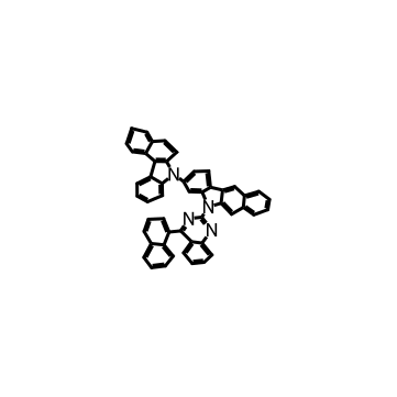 c1ccc2cc3c(cc2c1)c1ccc(-n2c4ccccc4c4c5ccccc5ccc42)cc1n3-c1nc(-c2cccc3ccccc23)c2ccccc2n1